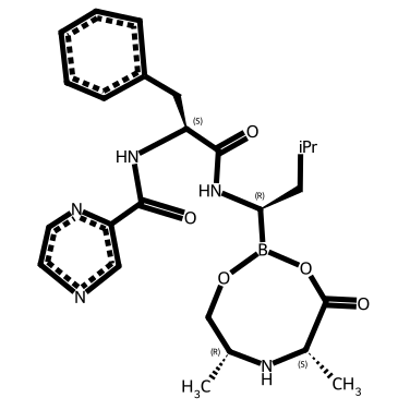 CC(C)C[C@H](NC(=O)[C@H](Cc1ccccc1)NC(=O)c1cnccn1)B1OC[C@@H](C)N[C@@H](C)C(=O)O1